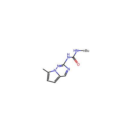 CCCCNC(=O)Nc1ncc2ccc(C)n2n1